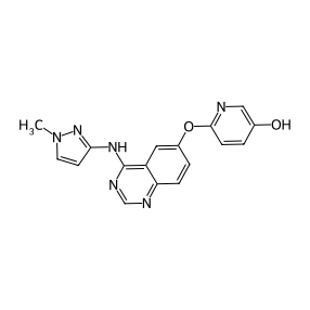 Cn1ccc(Nc2ncnc3ccc(Oc4ccc(O)cn4)cc23)n1